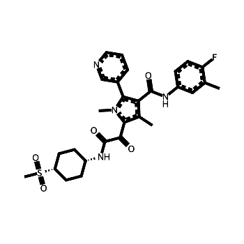 Cc1cc(NC(=O)c2c(C)c(C(=O)C(=O)N[C@H]3CC[C@@H](S(C)(=O)=O)CC3)n(C)c2-c2cccnc2)ccc1F